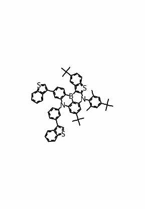 Cc1cc(C(C)(C)C)cc(C)c1N1c2cc(C(C)(C)C)cc3c2B(c2ccc(-c4csc5ccccc45)cc2N3c2cccc(-c3csc4ccccc34)c2)c2c1sc1ccc(C(C)(C)C)cc21